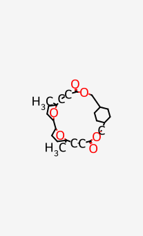 CC12CCC(=O)OCC3CCC(CC3)COC(=O)CCC3(C)CCC(O3)C(CC1)O2